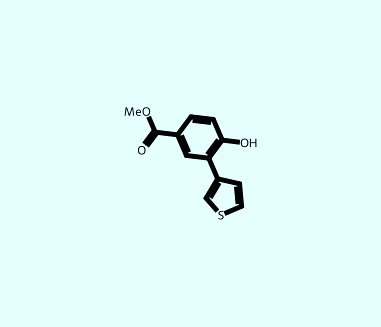 COC(=O)c1ccc(O)c(-c2ccsc2)c1